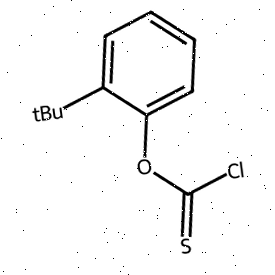 CC(C)(C)c1ccccc1OC(=S)Cl